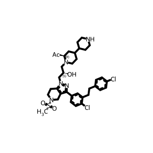 CC(=O)[C@H]1CC(C2CCNCC2)CCN1C[C@H](O)Cn1nc(-c2ccc(Cl)c(CCc3ccc(Cl)cc3)c2)c2c1CCN(S(C)(=O)=O)C2